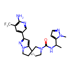 CC(NC(=O)N1CC[C@@]2(CCn3nc(-c4cnc(N)c(C(F)(F)F)c4)cc32)C1)c1ccnn1C